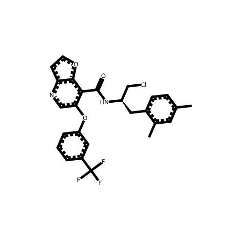 Cc1ccc(C[C@H](CCl)NC(=O)c2c(Oc3cccc(C(F)(F)F)c3)cnc3ccoc23)c(C)c1